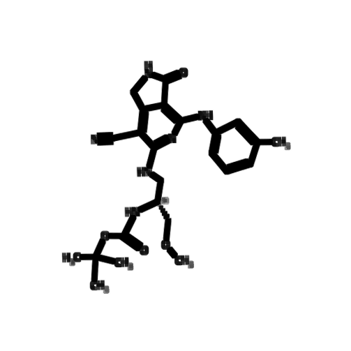 COC[C@@H](CNc1nc(Nc2cccc(C)c2)c2c(c1C#N)CNC2=O)NC(=O)OC(C)(C)C